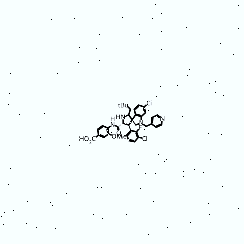 COc1cc(C(=O)O)ccc1NC(=O)[C@@H]1NC(CC(C)(C)C)[C@@]2(CN(Cc3ccncc3)c3cc(Cl)ccc32)[C@H]1c1cccc(Cl)c1F